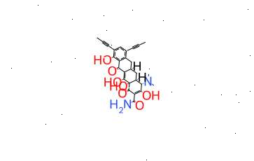 CC#Cc1cc(C#CC)c2c(c1O)C(=O)C1=C(O)[C@@]3(O)C(=O)C(C(N)=O)=C(O)[C@@H](N(C)C)[C@@H]3C[C@@H]1C2